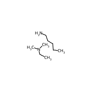 CCCCCN.CCN(C)C